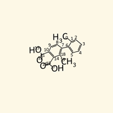 Cc1ccccc1-c1ccc(C(=O)O)c(C(=O)O)c1C